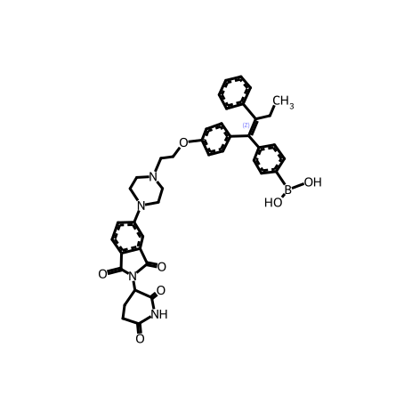 CC/C(=C(/c1ccc(OCCN2CCN(c3ccc4c(c3)C(=O)N(C3CCC(=O)NC3=O)C4=O)CC2)cc1)c1ccc(B(O)O)cc1)c1ccccc1